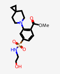 COC(=O)c1ccc(S(=O)(=O)NCCO)cc1N1CCC2(CC1)CC2